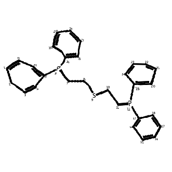 C1=CCC=CC(P(CCSCCP(c2ccccc2)c2ccccc2)c2ccccc2)=C1